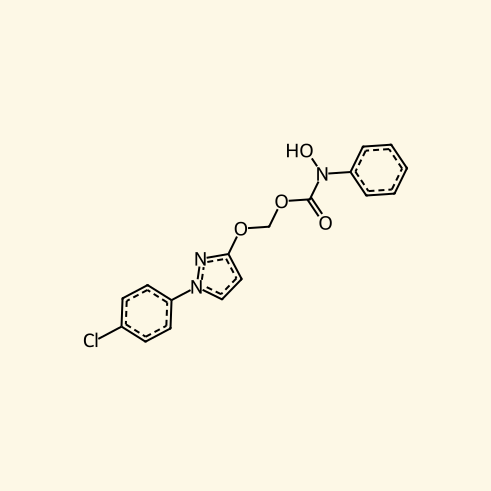 O=C(OCOc1ccn(-c2ccc(Cl)cc2)n1)N(O)c1ccccc1